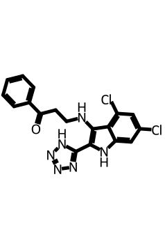 O=C(CCNc1c(-c2nnn[nH]2)[nH]c2cc(Cl)cc(Cl)c12)c1ccccc1